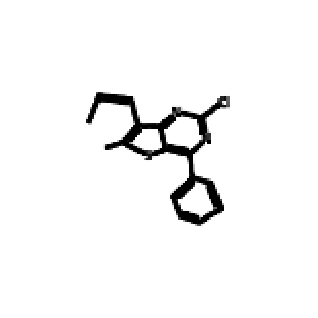 C/C=C\c1c(C)sc2c(-c3ccccc3)nc(Cl)nc12